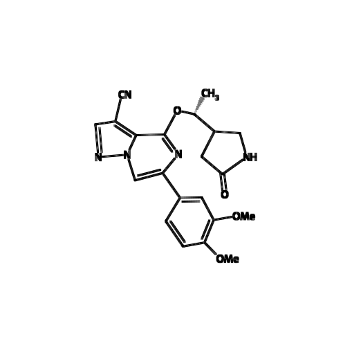 COc1ccc(-c2cn3ncc(C#N)c3c(O[C@H](C)C3CNC(=O)C3)n2)cc1OC